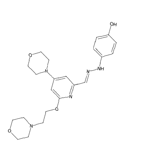 Oc1ccc(N/N=C/c2cc(N3CCOCC3)cc(OCCN3CCOCC3)n2)cc1